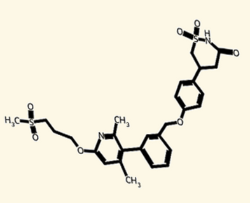 Cc1cc(OCCCS(C)(=O)=O)nc(C)c1-c1cccc(COc2ccc(C3CC(=O)NS(=O)(=O)C3)cc2)c1